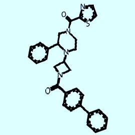 O=C(c1ccc(-c2ccccc2)cc1)N1CC(N2CCN(C(=O)c3nccs3)CC2c2ccccc2)C1